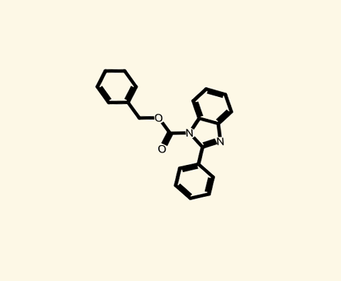 O=C(OCC1=CCCC=C1)n1c(-c2ccccc2)nc2ccccc21